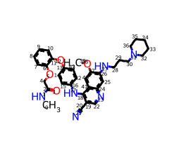 CNC(=O)COc1ccccc1Oc1ccc(Nc2c(C#N)cnc3cc(NCCCN4CCCCC4)c(OC)cc23)cc1